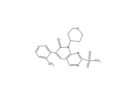 Cc1ccccc1-c1cc2cnc(S(C)(=O)=O)nc2n(C2CCOCC2)c1=O